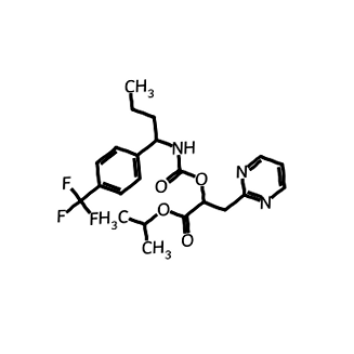 CCCC(NC(=O)OC(Cc1ncccn1)C(=O)OC(C)C)c1ccc(C(F)(F)F)cc1